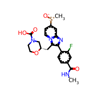 CNC(=O)c1ccc(-c2nc3cc([S+](C)[O-])ccn3c2C[C@H]2CN(C(=O)O)CCO2)c(F)c1